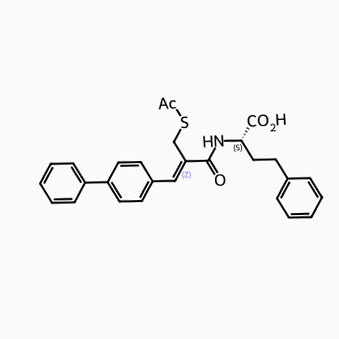 CC(=O)SC/C(=C\c1ccc(-c2ccccc2)cc1)C(=O)N[C@@H](CCc1ccccc1)C(=O)O